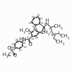 CCN(CC)CC(C)NC(=O)c1ccccc1-n1c(C)cc(C(=O)Nc2ccc(S(C)(=O)=O)cc2)c1C